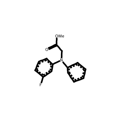 COC(=O)CN(c1ccccc1)c1cccc(F)c1